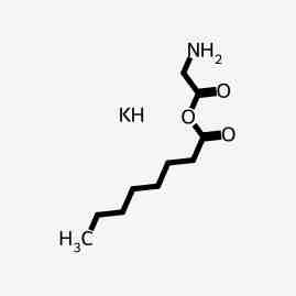 CCCCCCCC(=O)OC(=O)CN.[KH]